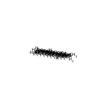 C[SiH2]OO[SiH](C)O[SiH](C)O[SiH](C)O[SiH](C)O[SiH](C)O[SiH](C)O[SiH](C)O[SiH](C)O[SiH](C)O[SiH](C)O[SiH](C)O[SiH](C)O[SiH](C)O[SiH](C)O[SiH](C)O[SiH](C)O[SiH](C)O[SiH](C)O[SiH2]C